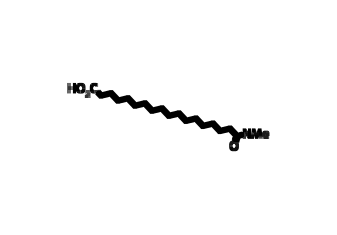 CNC(=O)CCCCCCCCCCCCCCCCC(=O)O